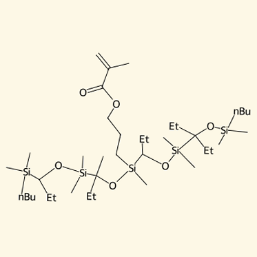 C=C(C)C(=O)OCCC[Si](C)(OC(C)(CC)[Si](C)(C)OC(CC)[Si](C)(C)CCCC)C(CC)O[Si](C)(C)C(CC)(CC)O[Si](C)(C)CCCC